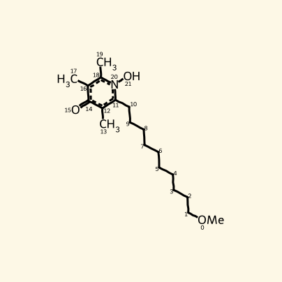 COCCCCCCCCCCc1c(C)c(=O)c(C)c(C)n1O